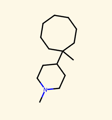 CN1CCC(C2(C)CCCCCCC2)CC1